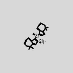 [CH2]=[Zr+2]([C]1=CC=C2C1=CC=CCC2(C)C)[C]1=CC=C2C1=CC=CCC2(C)C.[Cl-].[Cl-]